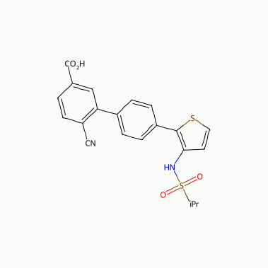 CC(C)S(=O)(=O)Nc1ccsc1-c1ccc(-c2cc(C(=O)O)ccc2C#N)cc1